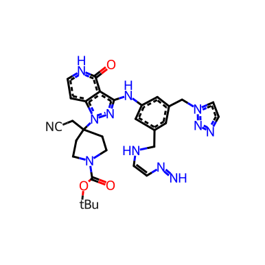 CC(C)(C)OC(=O)N1CCC(CC#N)(n2nc(Nc3cc(CN/C=C\N=N)cc(Cn4ccnn4)c3)c3c(=O)[nH]ccc32)CC1